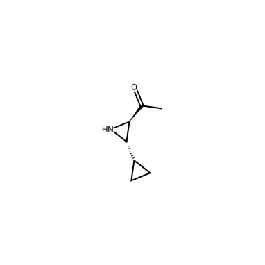 CC(=O)[C@@H]1N[C@H]1C1CC1